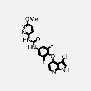 COc1ccc(NC(=O)Nc2cc(F)c(Oc3ccnc4[nH]cc(Cl)c34)c(F)c2)nn1